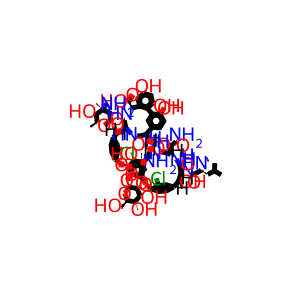 CN[C@H](CC(C)C)C(=O)N[C@H]1C(=O)N[C@@H](CC(N)=O)C(=O)N[C@H]2C(=O)N[C@H]3C(=O)N[C@H](C(=O)N[C@@H](C(=O)O)c4cc(O)cc(O)c4-c4cc3ccc4O)[C@H](O[C@H]3C[C@](C)(N)[C@@H](O)[C@H](C)O3)c3ccc(c(Cl)c3)Oc3cc2cc(c3O[C@@H]2O[C@H](CO)[C@@H](O)C(O)[C@H]2O[C@H]2C[C@](C)(N)[C@@H](O)[C@H](C)O2)Oc2ccc(cc2Cl)[C@H]1O